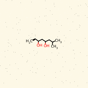 C=CC(O)CC(O)CC(C)C